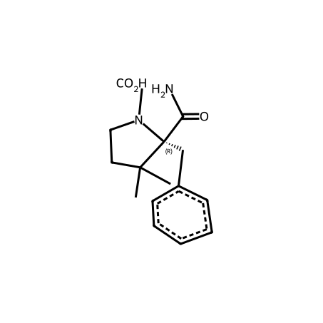 CC1(C)CCN(C(=O)O)[C@@]1(Cc1ccccc1)C(N)=O